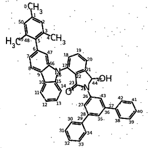 Cc1cc(C)c(-c2ccc3c4ccccc4n(-c4cccc5c4C(=O)N(c4cc(-c6ccccc6)cc(-c6ccccc6)c4)C5O)c3c2)c(C)c1